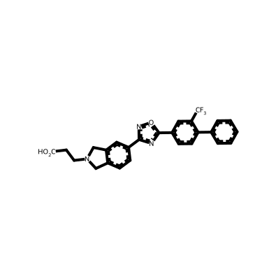 O=C(O)CCN1Cc2ccc(-c3noc(-c4ccc(-c5ccccc5)c(C(F)(F)F)c4)n3)cc2C1